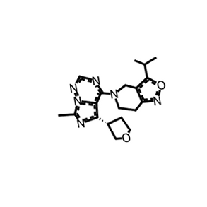 Cc1nc([C@@H]2CCOC2)c2c(N3CCc4noc(C(C)C)c4C3)ncnn12